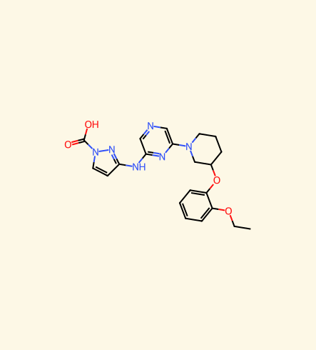 CCOc1ccccc1OC1CCCN(c2cncc(Nc3ccn(C(=O)O)n3)n2)C1